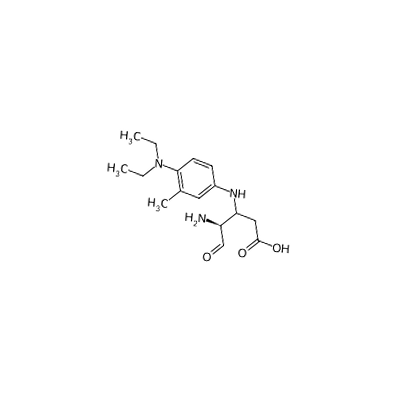 CCN(CC)c1ccc(NC(CC(=O)O)[C@H](N)C=O)cc1C